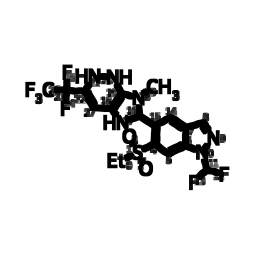 CCS(=O)(=O)c1cc2c(cnn2C(F)F)cc1C1NC2=C(NNC(C(F)(F)C(F)(F)F)=C2)N1C